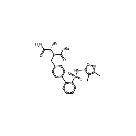 CCCCC(=O)N(Cc1ccc(-c2ccccc2S(=O)(=O)Nc2onc(C)c2C)cc1)[C@H](C(N)=O)C(C)C